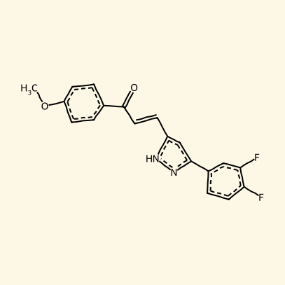 COc1ccc(C(=O)C=Cc2cc(-c3ccc(F)c(F)c3)n[nH]2)cc1